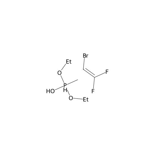 CCO[PH](C)(O)OCC.FC(F)=CBr